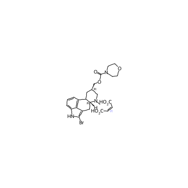 CN1C[C@H](COC(=O)N2CCOCC2)CC2c3cccc4[nH]c(Br)c(c34)C[C@H]21.O=C(O)/C=C\C(=O)O